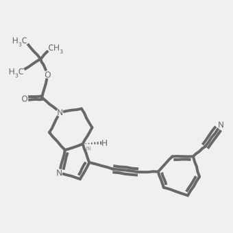 CC(C)(C)OC(=O)N1CC[C@H]2C(C#Cc3cccc(C#N)c3)=CN=C2C1